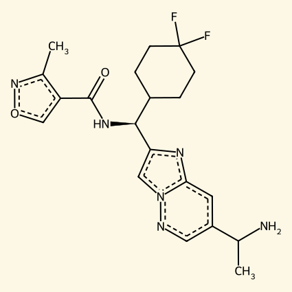 Cc1nocc1C(=O)N[C@H](c1cn2ncc(C(C)N)cc2n1)C1CCC(F)(F)CC1